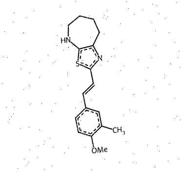 COc1ccc(C=Cc2nc3c(s2)NCCCC3)cc1C